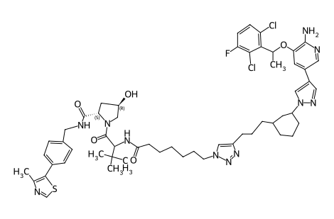 Cc1ncsc1-c1ccc(CNC(=O)[C@@H]2C[C@@H](O)CN2C(=O)C(NC(=O)CCCCCCn2cc(CCCC3CCCC(n4cc(-c5cnc(N)c(OC(C)c6c(Cl)ccc(F)c6Cl)c5)cn4)C3)nn2)C(C)(C)C)cc1